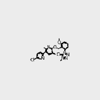 COc1cccc(-n2nnn(C)c2=O)c1COc1nc(C)c(-c2ccc(Cl)cn2)cc1C